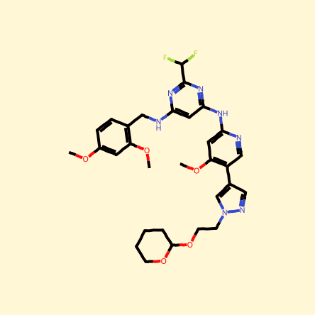 COc1ccc(CNc2cc(Nc3cc(OC)c(-c4cnn(CCOC5CCCCO5)c4)cn3)nc(C(F)F)n2)c(OC)c1